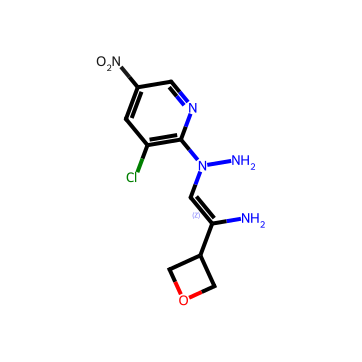 N/C(=C\N(N)c1ncc([N+](=O)[O-])cc1Cl)C1COC1